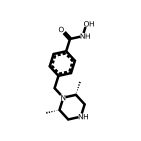 C[C@@H]1CNC[C@H](C)N1Cc1ccc(C(=O)NO)cc1